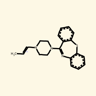 C/C=C/N1CCN(C2=Nc3ccccc3Sc3ccccc32)CC1